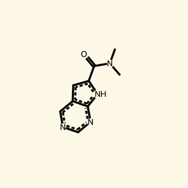 CN(C)C(=O)c1cc2cncnc2[nH]1